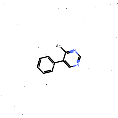 CC(=O)c1ncncc1-c1ccccc1